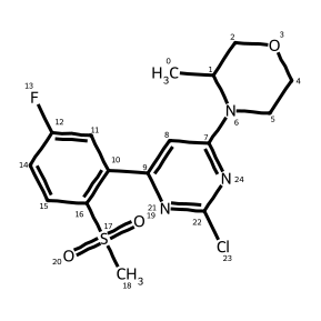 CC1COCCN1c1cc(-c2cc(F)ccc2S(C)(=O)=O)nc(Cl)n1